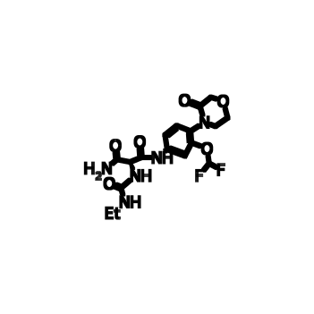 CCNC(=O)N[C@@H](C(N)=O)C(=O)Nc1ccc(N2CCOCC2=O)c(OC(F)F)c1